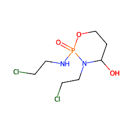 O=P1(NCCCl)OCCC(O)N1CCCl